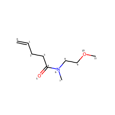 C=CCCC(=O)N(C)CCOC